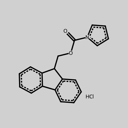 Cl.O=C(OCC1c2ccccc2-c2ccccc21)n1cccc1